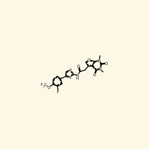 Cn1c(=O)c2c(CC(=O)Nc3nc(-c4ccc(OC(F)(F)F)c(F)c4)cs3)coc2n(C)c1=O